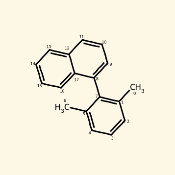 Cc1[c]ccc(C)c1-c1cccc2ccccc12